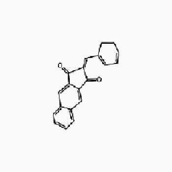 O=C1C(=CC2=CC=CCC2)C(=O)c2cc3ccccc3cc21